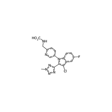 Cn1nnc(-c2c(Cl)c3cc(F)ccc3n2-c2ccc(CNC(=O)O)nc2)n1